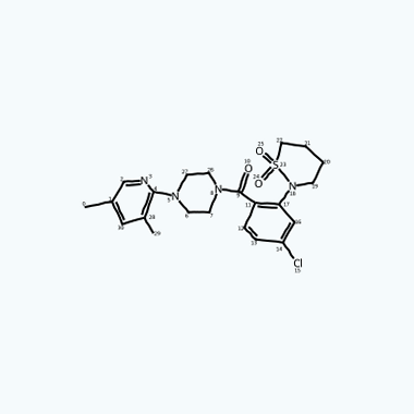 Cc1cnc(N2CCN(C(=O)c3ccc(Cl)cc3N3CCCCS3(=O)=O)CC2)c(C)c1